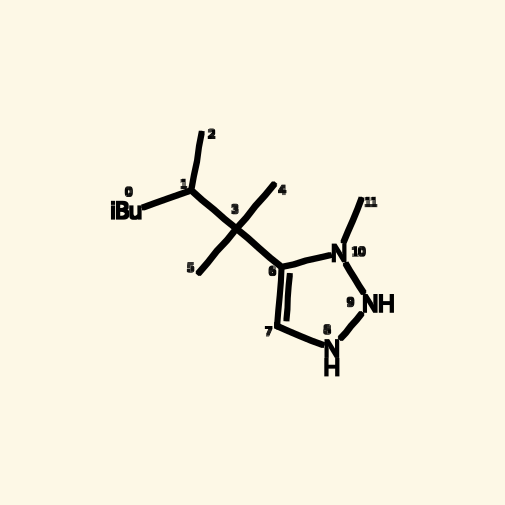 CCC(C)C(C)C(C)(C)C1=CNNN1C